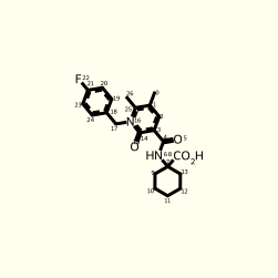 Cc1cc(C(=O)NC2(C(=O)O)CCCCC2)c(=O)n(Cc2ccc(F)cc2)c1C